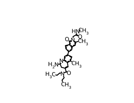 CCCN(CCC)C(=O)C1=Cc2c(C)cc(-c3ccc4c(=O)n(CC(=O)NC)c(C)cc4c3)cc2N=C(N)C1